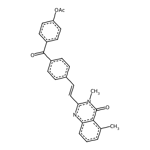 CC(=O)Oc1ccc(C(=O)c2ccc(/C=C/c3nc4cccc(C)c4c(=O)n3C)cc2)cc1